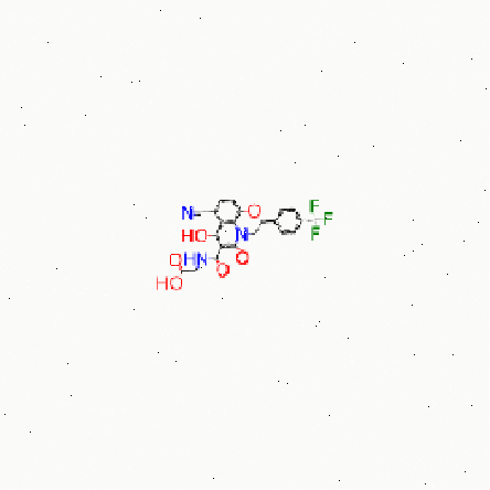 N#Cc1ccc2c3c1c(O)c(C(=O)NCC(=O)O)c(=O)n3CC(c1ccc(C(F)(F)F)cc1)O2